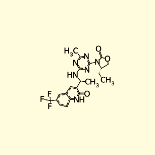 CC[C@H]1COC(=O)N1c1nc(C)nc(N[C@@H](C)c2cc3cc(C(F)(F)F)ccc3[nH]c2=O)n1